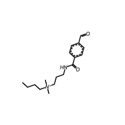 CCCC[N+](C)(C)CCCNC(=O)c1ccc(C=O)cc1